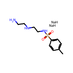 Cc1ccc(S(=O)(=O)NCCNCCN)cc1.[NaH].[NaH]